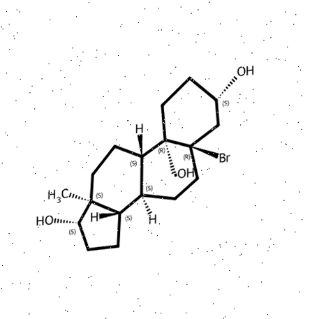 C[C@]12CC[C@H]3[C@@H](CC[C@@]4(Br)C[C@@H](O)CC[C@]34CO)[C@@H]1CC[C@@H]2O